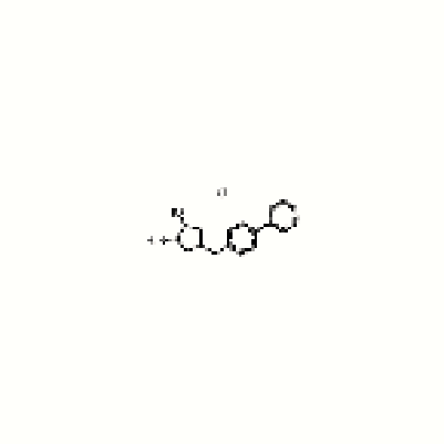 Cl.N[C@@H]1C[C@H](Cc2ccc(-c3ccccc3)cc2)C[C@@H]1O